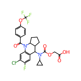 O=C(O)COC(=O)N(C1CC1)C1c2cc(F)c(Cl)cc2N(C(=O)c2ccc(OC(F)(F)F)cc2)C2CCCC21